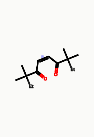 CCC(C)(C)C(=O)/C=C\C(=O)C(C)(C)CC